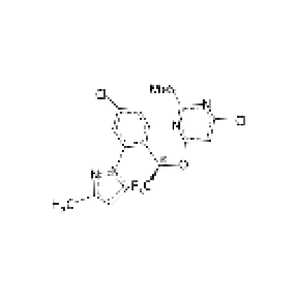 CSc1nc(Cl)cc(O[C@H](c2ccc(Cl)cc2-n2ccc(C)n2)C(F)(F)F)n1